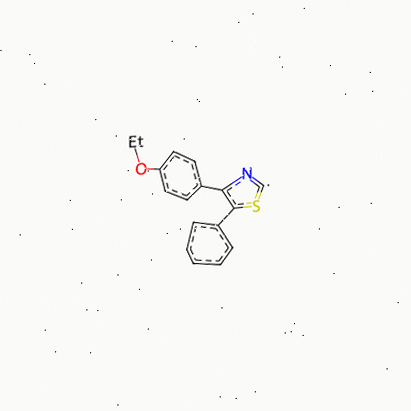 CCOc1ccc(-c2n[c]sc2-c2ccccc2)cc1